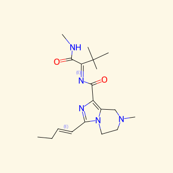 CC/C=C/c1nc(C(=O)/N=C(/C(=O)NC)C(C)(C)C)c2n1CCN(C)C2